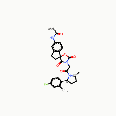 CNC(=O)Nc1ccc2c(c1)CCC21OC(=O)N(CC(=O)N2[C@@H](C)CC[C@H]2c2ccc(F)cc2C(F)(F)F)C1=O